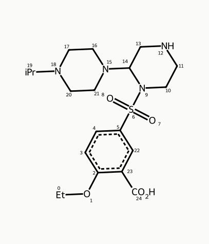 CCOc1ccc(S(=O)(=O)N2CCNCC2N2CCN(C(C)C)CC2)cc1C(=O)O